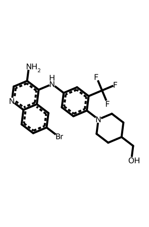 Nc1cnc2ccc(Br)cc2c1Nc1ccc(N2CCC(CO)CC2)c(C(F)(F)F)c1